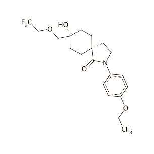 O=C1N(c2ccc(OCC(F)(F)F)cc2)CC[C@]12CC[C@](O)(COCC(F)(F)F)CC2